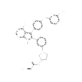 C=CC(=O)N[C@@H]1CCN(c2cccc(-c3c(-c4ccc(Oc5cccc(C)n5)cc4)c4c(N)ncnc4n3C)c2)C1